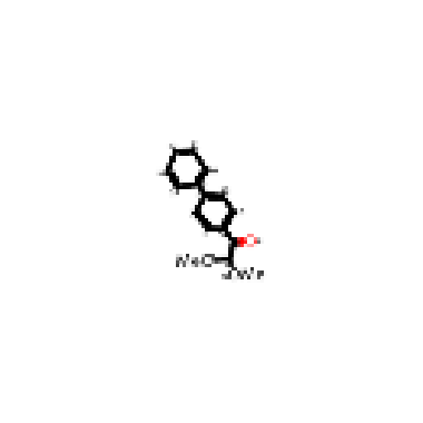 COC(OC)C(=O)c1ccc(-c2ccccc2)cc1